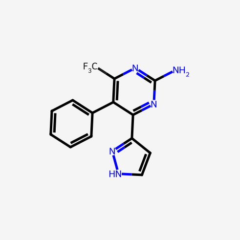 Nc1nc(-c2cc[nH]n2)c(-c2ccccc2)c(C(F)(F)F)n1